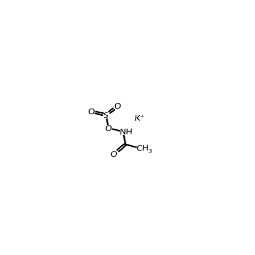 CC(=O)NO[S-](=O)=O.[K+]